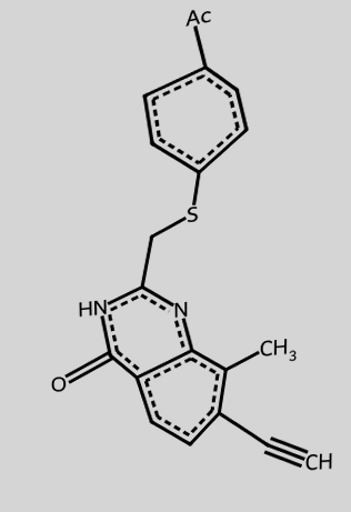 C#Cc1ccc2c(=O)[nH]c(CSc3ccc(C(C)=O)cc3)nc2c1C